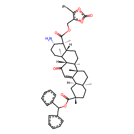 CC(C)c1oc(=O)oc1COC(=O)[C@@]1(C)[C@@H]2CC[C@]3(C)[C@H](C(=O)C=C4[C@@H]5C[C@@](C)(C(=O)OC(c6ccccc6)c6ccccc6)CC[C@]5(C)CC[C@]43C)[C@@]2(C)CC[C@@H]1N